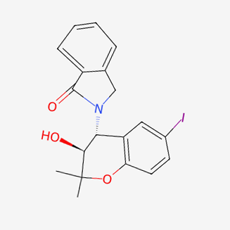 CC1(C)Oc2ccc(I)cc2[C@@H](N2Cc3ccccc3C2=O)[C@@H]1O